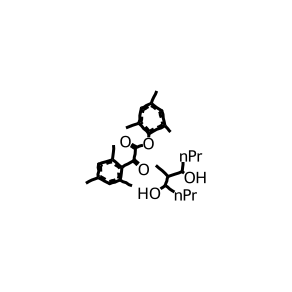 CCCC(O)C(C)C(O)CCC.Cc1cc(C)c(OC(=O)C(=O)c2c(C)cc(C)cc2C)c(C)c1